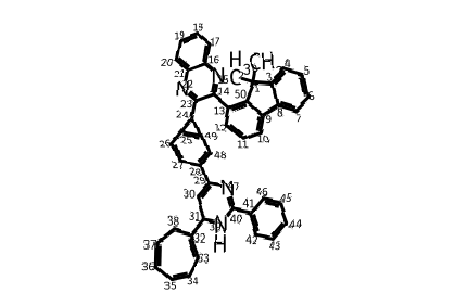 CC1(C)c2ccccc2-c2cccc(-c3nc4ccccc4nc3C3c4ccc(C5=CC(C6=CC=CC=CC6)NC(c6ccccc6)=N5)cc43)c21